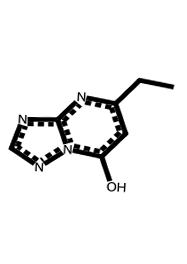 CCc1cc(O)n2ncnc2n1